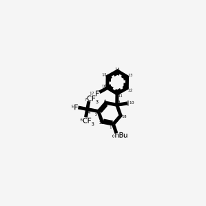 CCCCC1=CC(C(F)(C(F)(F)F)C(F)(F)F)=CC(I)(c2ccccc2F)[CH]1